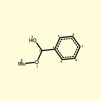 CC(C)(C)OC(O)c1ccccc1